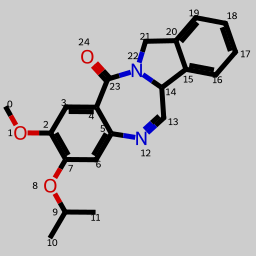 COc1cc2c(cc1OC(C)C)N=CC1c3ccccc3CN1C2=O